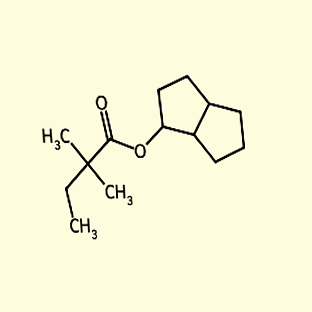 CCC(C)(C)C(=O)OC1CCC2CCCC21